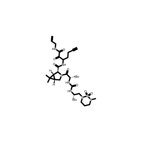 C#CCCC(NC(=O)[C@@H]1[C@@H]2[C@H](CN1C(=O)[C@@H](NC(=O)N[C@H](CN1CCCN(C)S1(=O)=O)C(C)(C)C)C(C)(C)C)C2(C)C)C(=O)C(=O)NCC=C